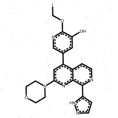 Oc1cc(-c2cc(N3CCOCC3)nc3c(-c4ccn[nH]4)nccc23)cnc1OCI